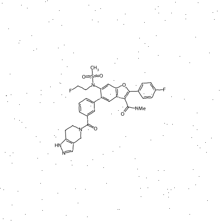 CNC(=O)c1c(-c2ccc(F)cc2)oc2cc(N(CCF)S(C)(=O)=O)c(-c3cccc(C(=O)N4CCc5[nH]ncc5C4)c3)cc12